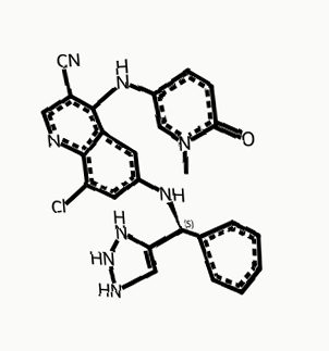 Cn1cc(Nc2c(C#N)cnc3c(Cl)cc(N[C@H](C4=CNNN4)c4ccccc4)cc23)ccc1=O